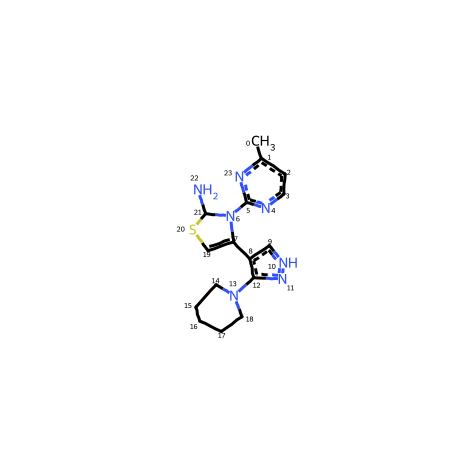 Cc1ccnc(N2C(c3c[nH]nc3N3CCCCC3)=CSC2N)n1